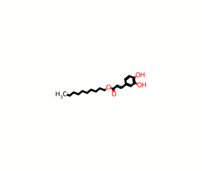 CCCCCCCCCCOC(=O)/C=C/c1ccc(O)c(O)c1